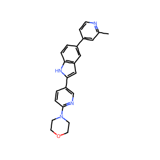 Cc1cc(-c2ccc3[nH]c(-c4ccc(N5CCOCC5)nc4)cc3c2)ccn1